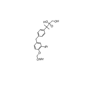 COCOc1ccc(Cc2ccc(C(C)(C)P(=O)(O)CO)cc2)cc1C(C)C